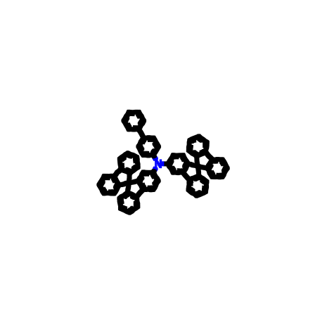 c1ccc(-c2ccc(N(c3ccc4c(c3)-c3ccccc3C43c4ccccc4-c4ccccc43)c3ccc4c(c3)C3(c5ccccc5-c5ccccc53)c3ccccc3-4)cc2)cc1